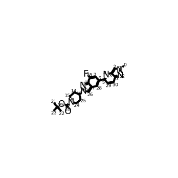 Cn1cc2nc(-c3cc(F)c4nn(C5CCN(C(=O)OC(C)(C)C)CC5)cc4c3)ccc2n1